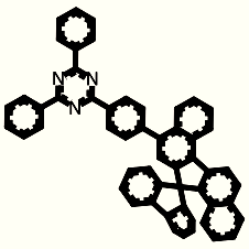 c1ccc(-c2nc(-c3ccccc3)nc(-c3ccc(-c4cc5c(c6ccccc46)-c4ccc6ccccc6c4C54c5ccccc5-c5ccccc54)cc3)n2)cc1